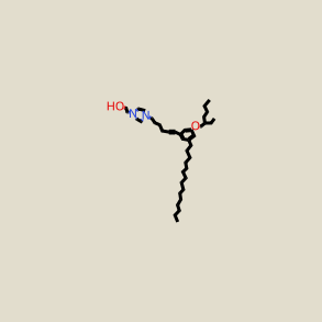 CCCCCCCCCCCCCCCc1cc(C#CCCCCN2CCN(CCO)CC2)cc(OCC(CC)CCCC)c1